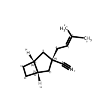 CC(C)=CC[C@]1(C#N)C[C@H]2CC[C@H]2C1